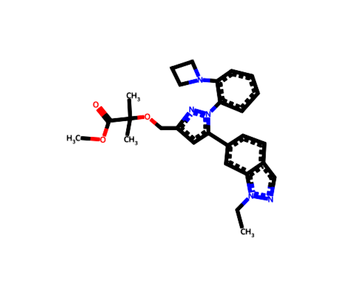 CCn1ncc2ccc(-c3cc(COC(C)(C)C(=O)OC)nn3-c3ccccc3N3CCC3)cc21